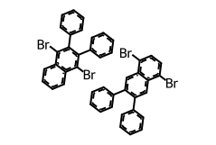 Brc1c(-c2ccccc2)c(-c2ccccc2)c(Br)c2ccccc12.Brc1ccc(Br)c2cc(-c3ccccc3)c(-c3ccccc3)cc12